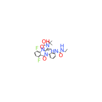 CCNC(=O)Nc1cccc(-n2c([C@H](C)N(C(=O)O)C(C)(C)C)nc3c(F)ccc(F)c3c2=O)c1